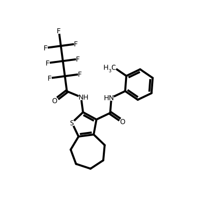 Cc1ccccc1NC(=O)c1c(NC(=O)C(F)(F)C(F)(F)C(F)(F)F)sc2c1CCCCC2